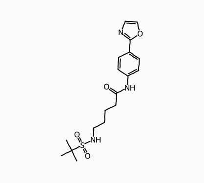 CC(C)(C)S(=O)(=O)NCCCCC(=O)Nc1ccc(-c2ncco2)cc1